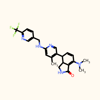 Cc1cc(NCc2ccc(C(F)(F)F)nc2)ncc1C1C=CC(N(C)C)=C2C(=O)NCC21